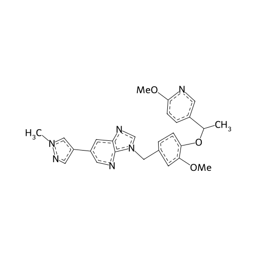 COc1ccc(C(C)Oc2ccc(Cn3cnc4cc(-c5cnn(C)c5)cnc43)cc2OC)cn1